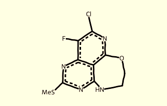 CSc1nc2c3c(nc(Cl)c(F)c3n1)OCCN2